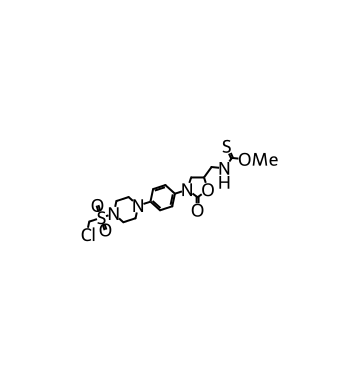 COC(=S)NCC1CN(c2ccc(N3CCN(S(=O)(=O)CCl)CC3)cc2)C(=O)O1